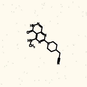 CNc1nc(N2CCC(CC#N)CC2)nc2cn[nH]c(=O)c12